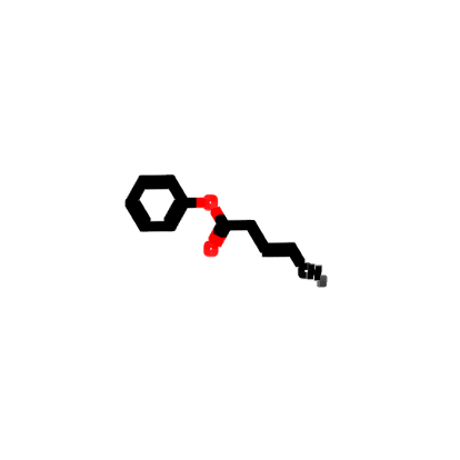 CC=CCC(=O)Oc1ccccc1